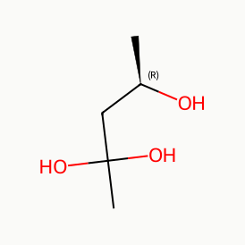 C[C@@H](O)CC(C)(O)O